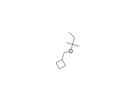 [CH2]CC(C)(C)OCC1CCC1